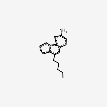 CCCCCc1cc2ccc(N)cc2c2ccccc12